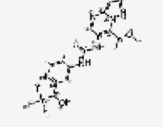 COC(C)c1c(NC(=O)Nc2ccnc(C(O)C(F)(F)F)c2)cnc2cc(Cl)nn12